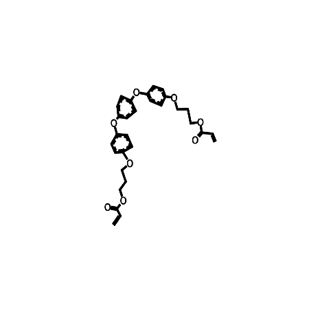 C=CC(=O)OCCCOc1ccc(Oc2ccc(Oc3ccc(OCCCOC(=O)C=C)cc3)cc2)cc1